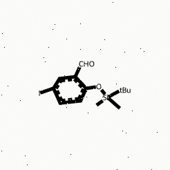 CC(C)(C)[Si](C)(C)Oc1ccc(I)cc1C=O